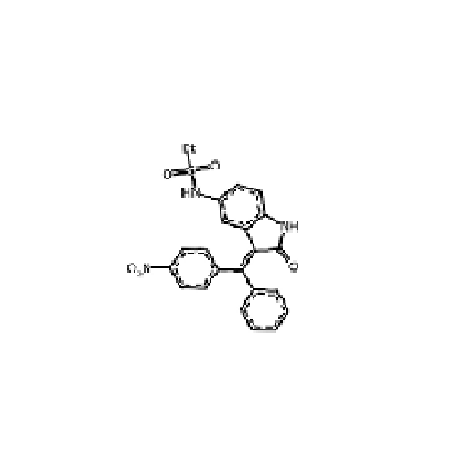 CCS(=O)(=O)Nc1ccc2c(c1)C(=C(c1ccccc1)c1ccc([N+](=O)[O-])cc1)C(=O)N2